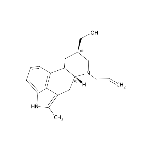 C=CCN1C[C@H](CO)CC2c3cccc4[nH]c(C)c(c34)C[C@H]21